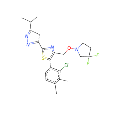 Cc1ccc(-c2sc(C3=NN=C(C(C)C)C3)nc2CON2CCC(F)(F)C2)c(Cl)c1C